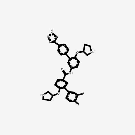 O=C(Nc1ccc(OC2CCNC2)c(-c2ccc(-c3nn[nH]n3)cc2)c1)c1ccc(OC2CCNC2)c(-c2ccc(F)c(F)c2)c1